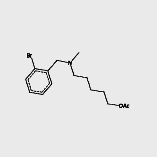 CC(=O)OCCCCCN(C)Cc1ccccc1Br